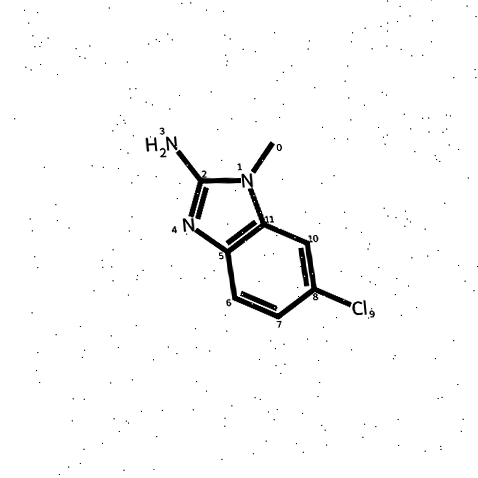 Cn1c(N)nc2ccc(Cl)cc21